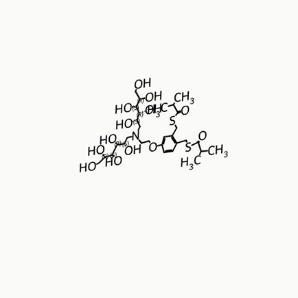 CC(C)C(=O)SCc1ccc(OCCN(C[C@H](O)[C@@H](O)[C@@H](O)[C@H](O)CO)C[C@H](O)[C@@H](O)[C@@H](O)[C@H](O)CO)cc1CSC(=O)C(C)C